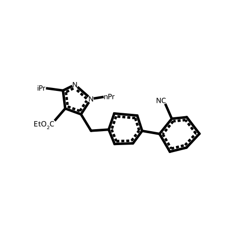 CCCn1nc(C(C)C)c(C(=O)OCC)c1Cc1ccc(-c2ccccc2C#N)cc1